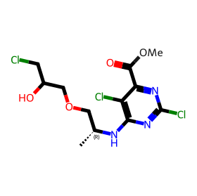 COC(=O)c1nc(Cl)nc(N[C@H](C)COCC(O)CCl)c1Cl